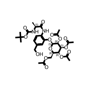 CC(=O)OC[C@H]1O[C@@H](Oc2cc(CO)ccc2NC(=O)[C@H](C)NC(=O)OC(C)(C)C)[C@H](OC(C)=O)[C@@H](OC(C)=O)[C@@H]1OC(C)=O